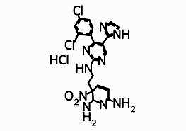 Cl.NC1=NC(N)C(CCNc2ncc(-c3ncc[nH]3)c(-c3ccc(Cl)cc3Cl)n2)([N+](=O)[O-])C=C1